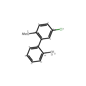 COc1ccc(Cl)cc1-c1ccccc1C(F)(F)F